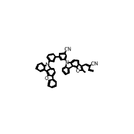 C=C/C(C#N)=C\c1c(C)oc2c1ccc1c2c2ccccc2n1-c1cc(C#N)cc(-c2cccc(-n3c4ccccc4c4c5oc6ccccc6c5ccc43)c2)c1